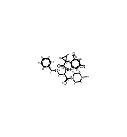 CN1CCN(C(=O)[C@@H](COCc2ccccc2)NC(=O)C2(c3ccc(Cl)cc3Cl)CC2)CC1